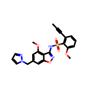 CC#Cc1cccc(OC)c1S(=O)(=O)Nc1noc2cc(Cn3cccn3)cc(OC)c12